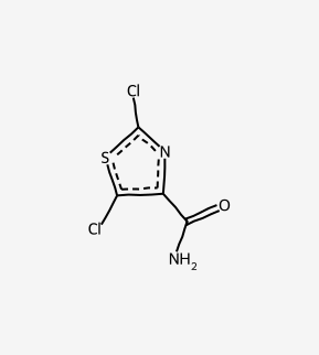 NC(=O)c1nc(Cl)sc1Cl